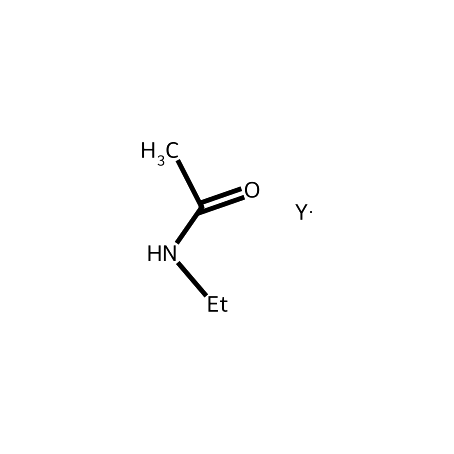 CCNC(C)=O.[Y]